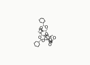 C[C@@H]1C(OC(=O)c2ccccc2)[C@H](O[C@H]2C3O[C@H]3C3OC[C@H]2O3)OC2COC(c3ccccc3)O[C@H]21